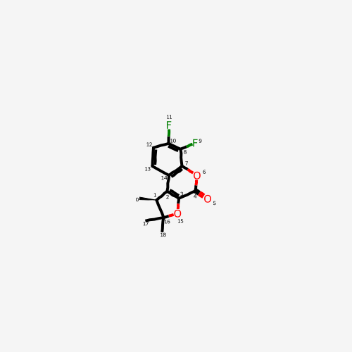 C[C@H]1c2c(c(=O)oc3c(F)c(F)ccc23)OC1(C)C